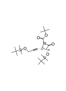 CC(C)(C)OC(=O)N1C(=O)[C@H](O[Si](C)(C)C(C)(C)C)[C@@H]1C#CCO[Si](C)(C)C(C)(C)C